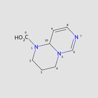 O=C(O)N1CCCN2C=NC=CC21